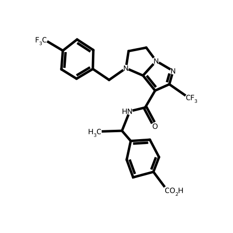 CC(NC(=O)c1c(C(F)(F)F)nn2c1N(Cc1ccc(C(F)(F)F)cc1)CC2)c1ccc(C(=O)O)cc1